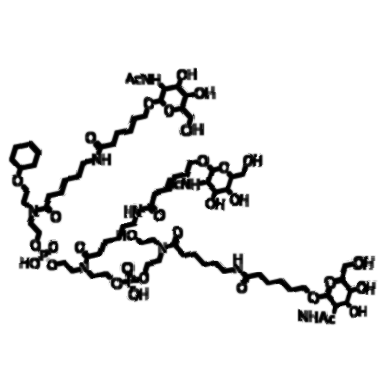 CC(=O)NC1C(OCCCCCC(=O)NCCCCCC(=O)N(CCO)CCOP(=O)(O)OCCN(CCOP(=O)(O)OCCN(CCOC2CCCCC2)C(=O)CCCCCNC(=O)CCCCCOC2OC(CO)C(O)C(O)C2NC(C)=O)C(=O)CCCCCNC(=O)CCCCCOC2OC(CO)C(O)C(O)C2NC(C)=O)OC(CO)C(O)C1O